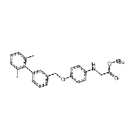 Cc1cccc(C)c1-c1cccc(COc2ccc(NCC(=O)OC(C)(C)C)cc2)c1